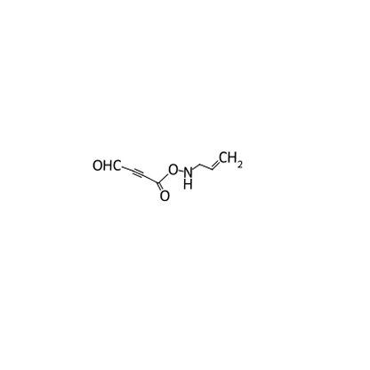 C=CCNOC(=O)C#CC=O